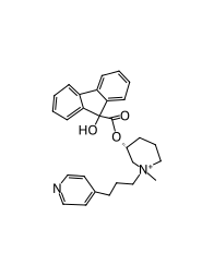 C[N+]1(CCCc2ccncc2)CCC[C@@H](OC(=O)C2(O)c3ccccc3-c3ccccc32)C1